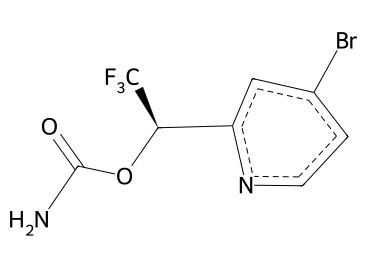 NC(=O)O[C@H](c1cc(Br)ccn1)C(F)(F)F